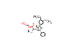 C=Cc1ccccc1C=C.CCC(=CC(C)=C(C)C(=O)OCCO)c1ccccc1